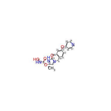 C[C@@]1(OC(=O)NO)CN(Cc2ccc(Oc3ccncc3)cc2)C(=O)N1